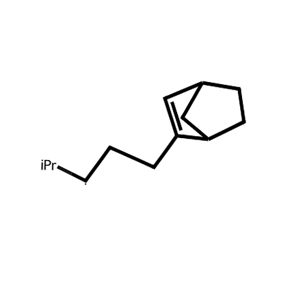 CC(C)[CH]CCC1=CC2CCC1C2